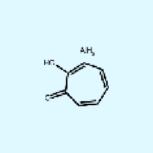 O=c1cccccc1O.[AlH3]